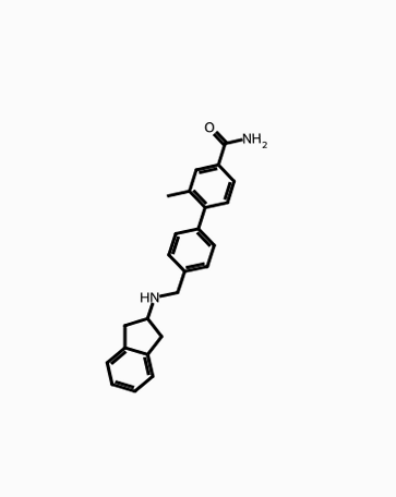 Cc1cc(C(N)=O)ccc1-c1ccc(CNC2Cc3ccccc3C2)cc1